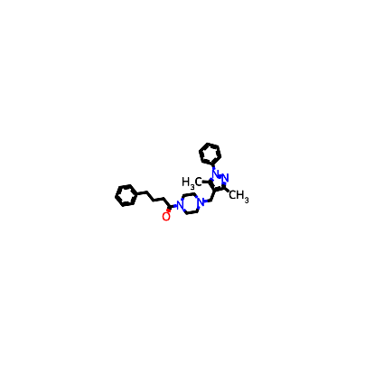 Cc1nn(-c2ccccc2)c(C)c1CN1CCN(C(=O)CCCc2ccccc2)CC1